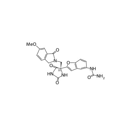 COc1ccc2c(c1)C(=O)N(C[C@@]1(c3cc4cc(NC(N)=O)ccc4o3)NC(=O)NC1=O)C2